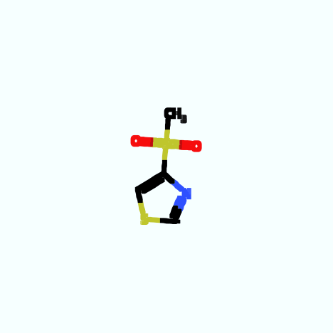 CS(=O)(=O)c1cs[c]n1